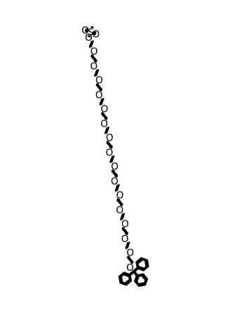 CS(=O)(=O)OCCOCCOCCOCCOCCOCCOCCOCCOCCOCCOCCOCCOCCOCCOCCOCCOC(c1ccccc1)(c1ccccc1)c1ccccc1